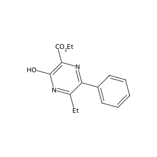 CCOC(=O)c1nc(-c2ccccc2)c(CC)nc1O